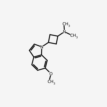 COc1ccc2ccn(C3CC(N(C)C)C3)c2c1